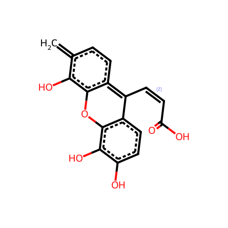 C=c1ccc2c(c1O)Oc1c(ccc(O)c1O)C=2/C=C\C(=O)O